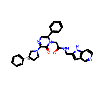 O=C(Cn1c(-c2ccccc2)cnc(N2CC[C@H](c3ccccc3)C2)c1=O)NCc1cc2cnccc2[nH]1